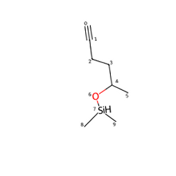 C#CCCC(C)O[SiH](C)C